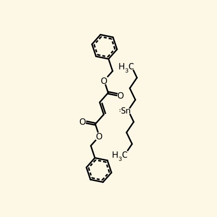 CCC[CH2][Sn][CH2]CCC.O=C(C=CC(=O)OCc1ccccc1)OCc1ccccc1